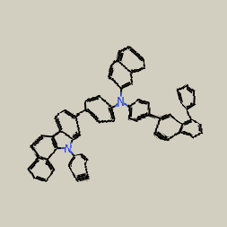 c1ccc(-c2cccc3ccc(-c4ccc(N(c5ccc(-c6ccc7c8ccc9ccccc9c8n(-c8ccccc8)c7c6)cc5)c5ccc6ccccc6c5)cc4)cc23)cc1